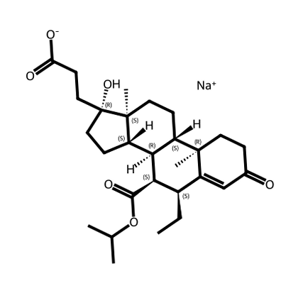 CC[C@@H]1C2=CC(=O)CC[C@]2(C)[C@H]2CC[C@@]3(C)[C@@H](CC[C@@]3(O)CCC(=O)[O-])[C@@H]2[C@@H]1C(=O)OC(C)C.[Na+]